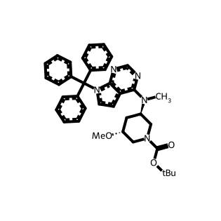 CO[C@@H]1C[C@@H](N(C)c2ncnc3c2ccn3C(c2ccccc2)(c2ccccc2)c2ccccc2)CN(C(=O)OC(C)(C)C)C1